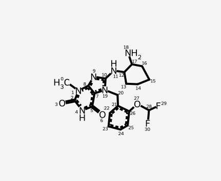 Cn1c(=O)[nH]c(=O)c2c1nc(NC1CCCCC1N)n2Cc1ccccc1OC(F)F